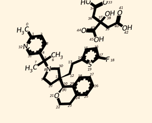 Cc1ccc(C(C)(C)N2CC[C@@](CCc3ccc(F)s3)([C@@H]3OCCc4ccccc43)C2)cn1.O=C(O)CC(O)(CC(=O)O)C(=O)O